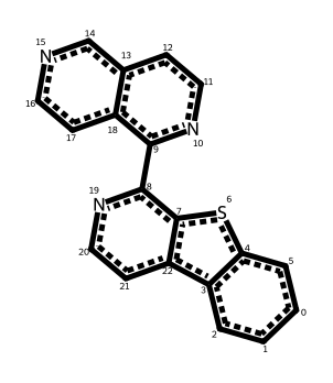 c1ccc2c(c1)sc1c(-c3nccc4cnccc34)nccc12